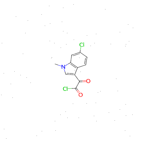 Cn1cc(C(=O)C(=O)Cl)c2ccc(Cl)cc21